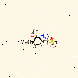 CCOc1cc([C@@H](N)CS(C)(=O)=O)ccc1OC